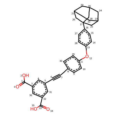 O=C(O)c1cc(C#Cc2ccc(Oc3ccc(C45CC6CC(CC(C6)C4)C5)cc3)cc2)cc(C(=O)O)c1